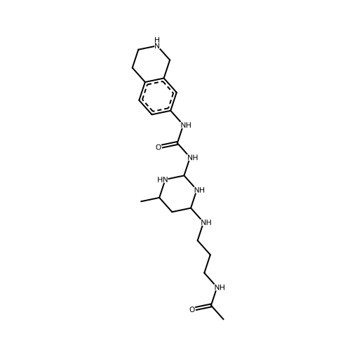 CC(=O)NCCCNC1CC(C)NC(NC(=O)Nc2ccc3c(c2)CNCC3)N1